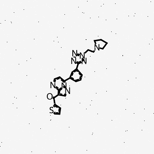 O=C(c1cccs1)c1cnn2c(-c3cccc(-c4nnn(CCN5CCCC5)n4)c3)ccnc12